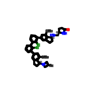 COc1cc(-c2cccc(-c3cccc(-c4cc5c(c(OC)c4)[C@@H](N4CC(C(C)=O)C4)CC5)c3Cl)c2Cl)cc2c1[C@H](NC[C@@H]1CCC(=O)N1)CC2